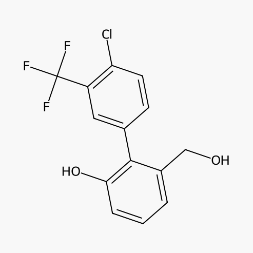 OCc1cccc(O)c1-c1ccc(Cl)c(C(F)(F)F)c1